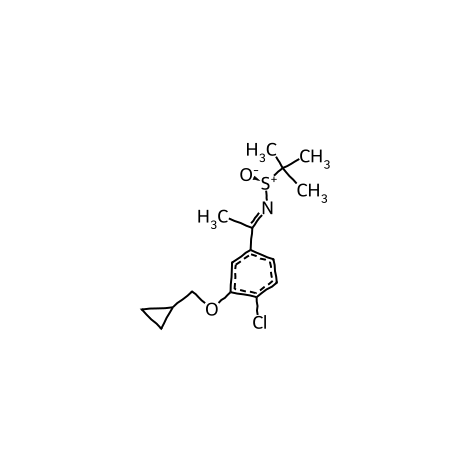 C/C(=N\[S@@+]([O-])C(C)(C)C)c1ccc(Cl)c(OCC2CC2)c1